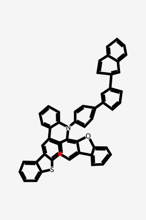 c1cc(-c2ccc(N(c3ccccc3-c3ccc4sc5ccccc5c4c3)c3cccc4c3oc3ccccc34)cc2)cc(-c2ccc3ccccc3c2)c1